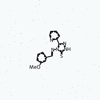 COc1cccc(/C=N/n2c(-c3ccccn3)n[nH]c2=S)c1